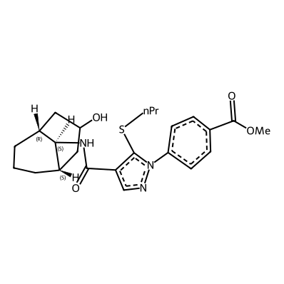 CCCSc1c(C(=O)N[C@@H]2[C@@H]3CCC[C@H]2CC(O)C3)cnn1-c1ccc(C(=O)OC)cc1